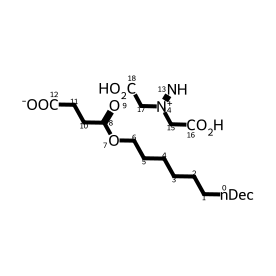 CCCCCCCCCCCCCCCCOC(=O)CCC(=O)[O-].N=[N+](CC(=O)O)CC(=O)O